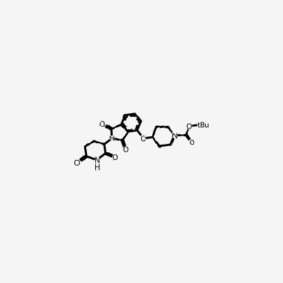 CC(C)(C)OC(=O)N1CCC(Oc2cccc3c2C(=O)N(C2CCC(=O)NC2=O)C3=O)CC1